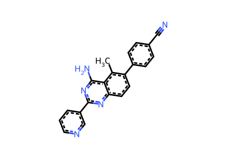 Cc1c(-c2ccc(C#N)cc2)ccc2nc(-c3cccnc3)nc(N)c12